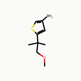 Bc1csc(C(C)(C)COC)c1